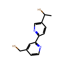 CC(S)c1ccc(-c2cc(CS)ccn2)nc1